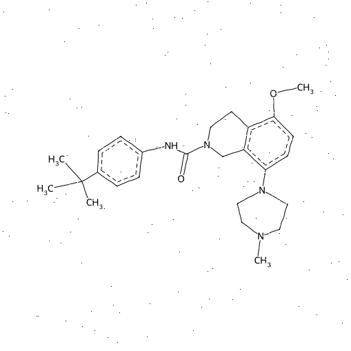 COc1ccc(N2CCN(C)CC2)c2c1CCN(C(=O)Nc1ccc(C(C)(C)C)cc1)C2